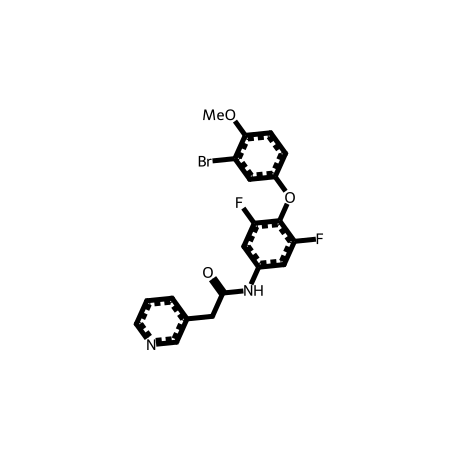 COc1ccc(Oc2c(F)cc(NC(=O)Cc3cccnc3)cc2F)cc1Br